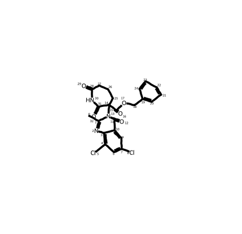 Cc1nc2c(Cl)cc(Cl)cc2c(=O)n1C1(C(=O)OCc2ccccc2)CCCC(=O)NC1=O